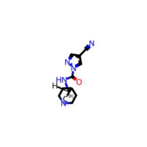 N#Cc1cnn(C(=O)N[C@H]2CN3CCC2CC3)c1